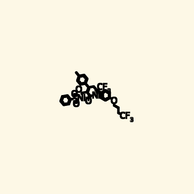 Cc1ccc(C2=C(C(=O)NS(=O)(=O)c3ccccc3)C(=O)N[C@@](c3ccc(OCCCC(F)(F)F)cc3)(C(F)(F)F)C2)cc1